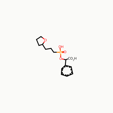 O=C(O)C(OP(=O)(O)CCCC1CCCO1)c1ccccc1